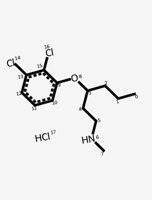 CCCC(CCNC)Oc1cccc(Cl)c1Cl.Cl